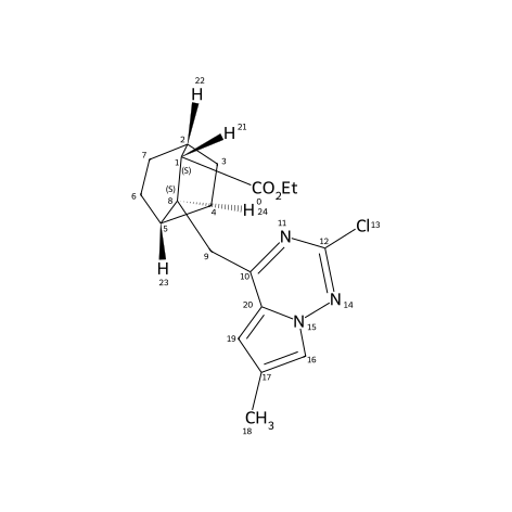 CCOC(=O)[C@H]1[C@H]2CC[C@H](CC2)[C@@H]1Cc1nc(Cl)nn2cc(C)cc12